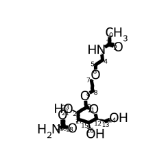 CC(=O)NCCOCCOC1O[C@@H](CO)[C@@H](O)[C@H](OC(N)=O)[C@@H]1O